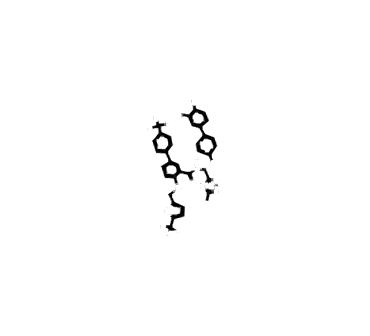 Cc1noc([C@@H](Cc2ccc(-c3ccc(F)c(Cl)c3)cc2)NC(=O)c2cc(-c3ccc(C(F)(F)F)cc3)ccc2OCc2ccc(C(F)(F)F)o2)n1